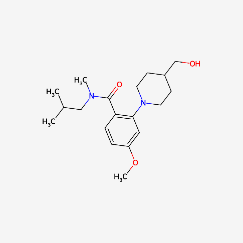 COc1ccc(C(=O)N(C)CC(C)C)c(N2CCC(CO)CC2)c1